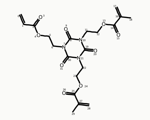 C=CC(=O)OCCn1c(=O)n(CCOC(=O)C(=C)C)c(=O)n(CCOC(=O)C(=C)C)c1=O